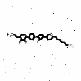 CCCCCCCC1CCC(c2ccc(-c3ccc(-c4ccc(CCC)c(F)c4F)cc3)c(F)c2)CO1